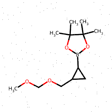 COCOCC1CC1B1OC(C)(C)C(C)(C)O1